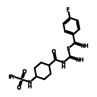 CC(C)S(=O)(=O)NC1CCC(C(=O)NC(=N)SC(=N)c2ccc(F)cc2)CC1